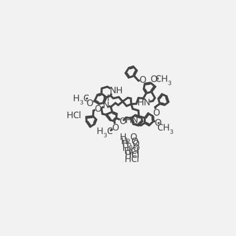 COc1cc2c(cc1OCc1ccccc1)C(CCC1(CCC3NCCc4cc(OC)c(OCc5ccccc5)cc43)CCC(CCC3NCCc4cc(OC)c(OCc5ccccc5)cc43)(CCC3NCCc4cc(OC)c(OCc5ccccc5)cc43)C1)NCC2.Cl.Cl.Cl.Cl.O.O.O.O